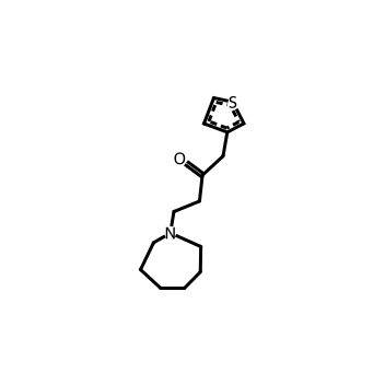 O=C(CCN1CCCCCC1)Cc1ccsc1